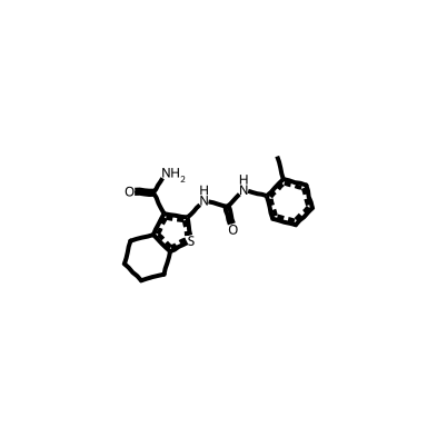 Cc1ccccc1NC(=O)Nc1sc2c(c1C(N)=O)CCCC2